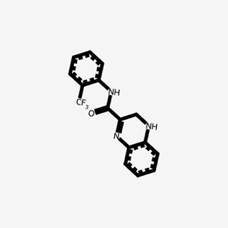 O=C(Nc1ccccc1C(F)(F)F)C1=Nc2ccccc2NC1